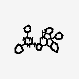 c1ccc(-c2nc(-c3ccccc3)nc(-n3ccc4c3CNC3=C4c4ccccc4C3(c3ccccc3)c3ccccc3)n2)cc1